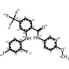 COc1ccc(NC(=O)c2ccc(C(F)(F)F)cc2Nc2ccc(F)cc2F)cn1